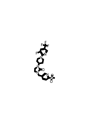 CS(=O)(=O)c1ccc(CN2CCN(C3CCN(c4ncc(C(F)(F)F)cc4F)CC3)C2=O)cn1